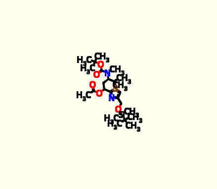 CC(=O)OC(C[C@H](C(C)C)N(C)C(=O)OC(C)(C)C)c1nc(CO[Si](C)(C)C(C)(C)C)cs1